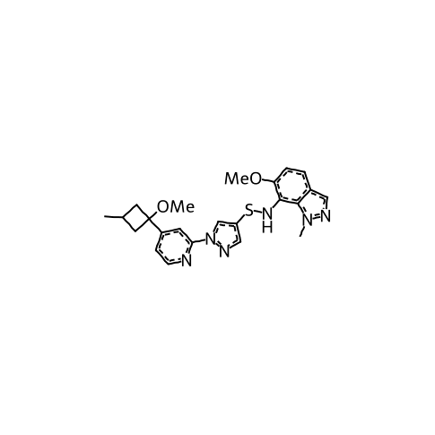 COc1ccc2cnn(C)c2c1NSc1cnn(-c2cc(C3(OC)CC(C)C3)ccn2)c1